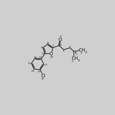 CN(C)CCC(=O)c1ccc(-c2cccc(Cl)c2)o1